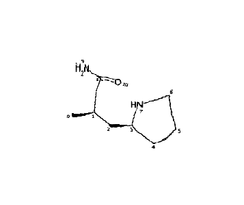 C[C@H](C[C@@H]1CCCN1)C(N)=O